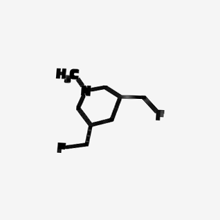 CN1CC(CF)CC(CF)C1